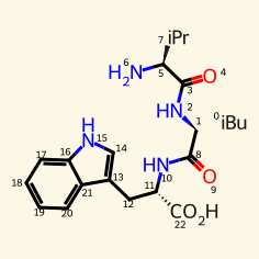 CC[C@H](C)[C@H](NC(=O)[C@@H](N)C(C)C)C(=O)N[C@@H](Cc1c[nH]c2ccccc12)C(=O)O